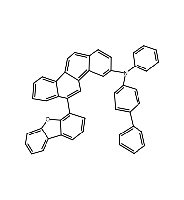 c1ccc(-c2ccc(N(c3ccccc3)c3ccc4ccc5c6ccccc6c(-c6cccc7c6oc6ccccc67)cc5c4c3)cc2)cc1